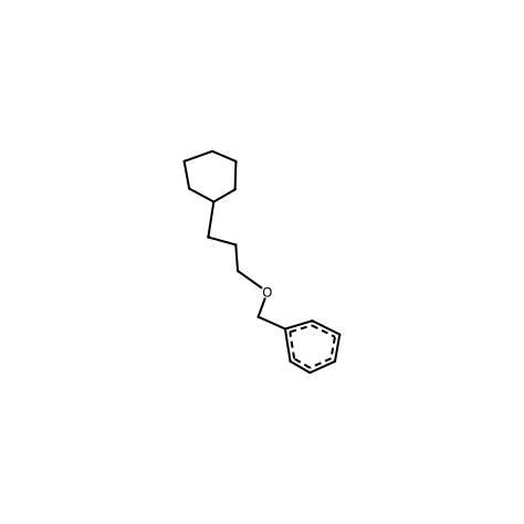 c1ccc(COCCCC2CCCCC2)cc1